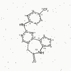 O=C1Cc2cnc(Nc3ccc(C(F)(F)F)cc3)nc2-c2cscc2N1